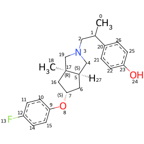 CC(CN1C[C@H]2C[C@H](Oc3ccc(F)cc3)C[C@@]2(C)C1)c1ccc(O)cc1